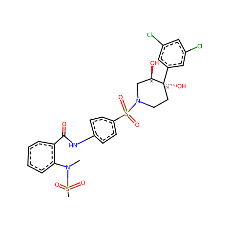 CN(c1ccccc1C(=O)Nc1ccc(S(=O)(=O)N2CC[C@](O)(c3cc(Cl)cc(Cl)c3)[C@H](O)C2)cc1)S(C)(=O)=O